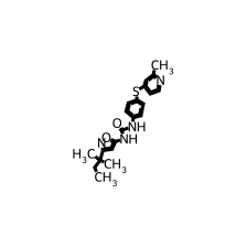 CCC(C)(C)c1cc(NC(=O)Nc2ccc(Sc3ccnc(C)c3)cc2)on1